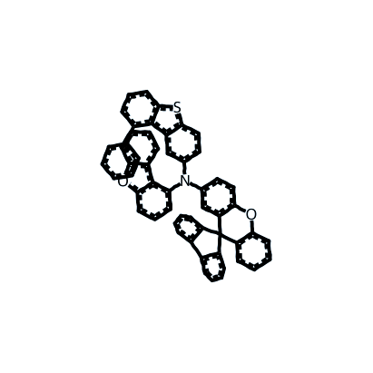 c1ccc(-c2cccc3sc4ccc(N(c5ccc6c(c5)C5(c7ccccc7O6)c6ccccc6-c6ccccc65)c5cccc6oc7ccccc7c56)cc4c23)cc1